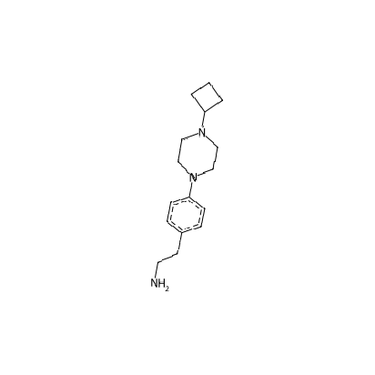 NCCc1ccc(N2CCN(C3CCC3)CC2)cc1